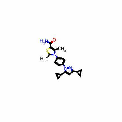 CC1=C(C(N)=O)SC(C)N1c1ccc(-n2nc(C3CC3)cc2C2CC2)cc1